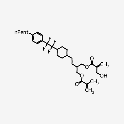 C=C(C)C(=O)OCC(CCC1CCC(C(F)(F)C(F)(F)c2ccc(CCCCC)cc2)CC1)COC(=O)C(=C)CO